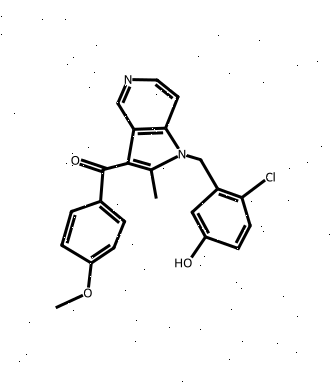 COc1ccc(C(=O)c2c(C)n(Cc3cc(O)ccc3Cl)c3ccncc23)cc1